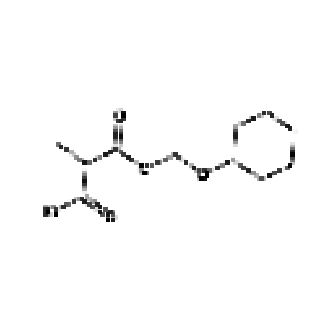 CC(C(=O)O)C(=O)OCOC1CCCCC1